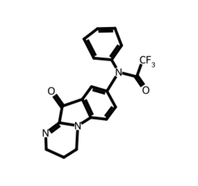 O=C1C2=NCCCN2c2ccc(N(C(=O)C(F)(F)F)c3ccccc3)cc21